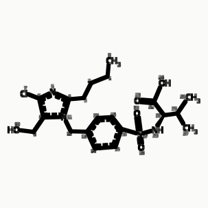 CCCCc1nc(Cl)c(CO)n1Cc1ccc(S(=O)(=O)N[C@@H](C(=O)O)C(C)C)cc1